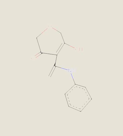 C=C(Nc1ccccc1)C1=C(O)COCC1=O